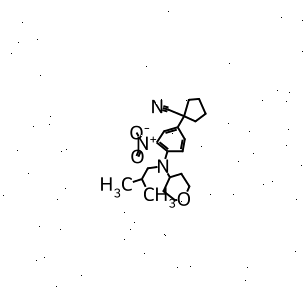 CC(C)CN(c1ccc(C2(C#N)CCCC2)cc1[N+](=O)[O-])C1CCOCC1